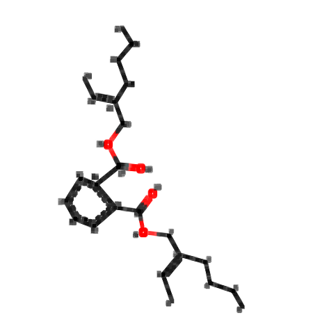 CC=C(CCCC)COC(=O)c1ccccc1C(=O)OCC(=CC)CCCC